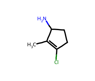 CC1=C(Cl)CCC1N